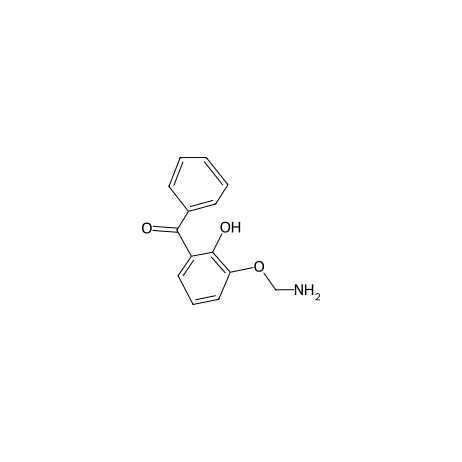 NCOc1cccc(C(=O)c2ccccc2)c1O